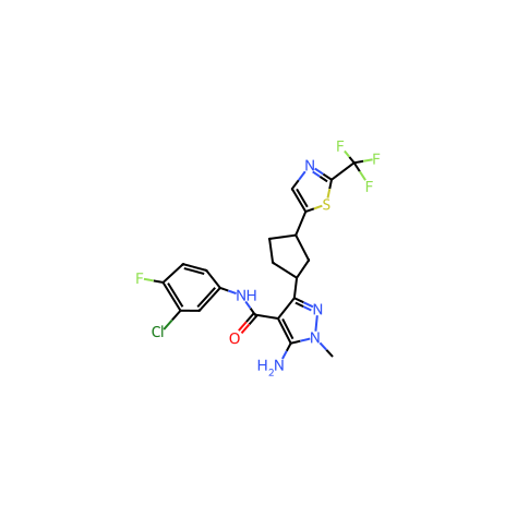 Cn1nc(C2CCC(c3cnc(C(F)(F)F)s3)C2)c(C(=O)Nc2ccc(F)c(Cl)c2)c1N